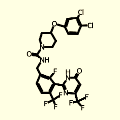 O=C(NCc1ccc(C(F)(F)F)c(-c2nc(C(F)(F)F)cc(=O)[nH]2)c1F)N1CCC(Oc2ccc(Cl)c(Cl)c2)CC1